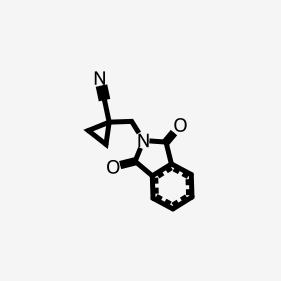 N#CC1(CN2C(=O)c3ccccc3C2=O)CC1